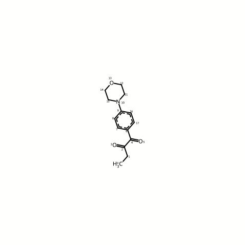 CCC(=O)C(=O)c1ccc(N2CCOCC2)cc1